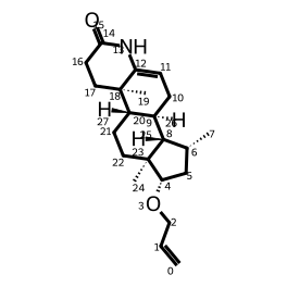 C=CCO[C@H]1C[C@@H](C)[C@H]2[C@@H]3CC=C4NC(=O)CC[C@]4(C)[C@H]3CC[C@@]21C